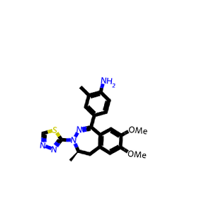 COc1cc2c(cc1OC)C(c1ccc(N)c(C)c1)=NN(c1nncs1)[C@H](C)C2